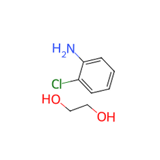 Nc1ccccc1Cl.OCCO